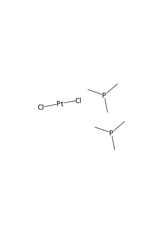 CP(C)C.CP(C)C.[Cl][Pt][Cl]